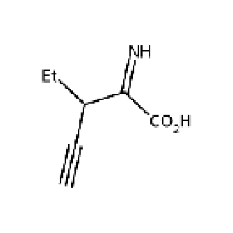 C#CC(CC)C(=N)C(=O)O